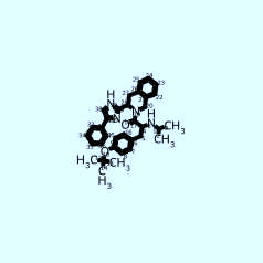 CC(C)NC(Cc1ccc(OC(C)(C)C)cc1)C(=O)N1Cc2ccccc2CC1c1nc(-c2ccccc2)c[nH]1